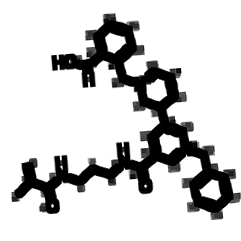 C=C(C)C(=O)NCCCNC(=O)c1cc(C2C=CC=[N+](Cc3ccccc3BO)C2)c[n+](Cc2ccccc2)c1